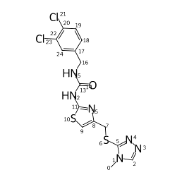 Cn1cnnc1SCc1csc(NC(=O)NCc2ccc(Cl)c(Cl)c2)n1